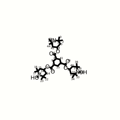 CC1(C)CC(OC(=O)C2CC(C(=O)OC3CC(C)(C)N(O)C(C)(C)C3)CC(C(=O)OC3CC(C)(C)N(O)C(C)(C)C3)C2)CC(C)(C)N1